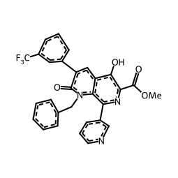 COC(=O)c1nc(-c2cccnc2)c2c(cc(-c3cccc(C(F)(F)F)c3)c(=O)n2Cc2ccccc2)c1O